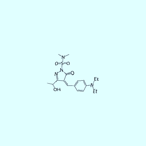 CCN(CC)c1ccc(/C=C2\C(=O)N(S(=O)(=O)N(C)C)N=C2C(C)O)cc1